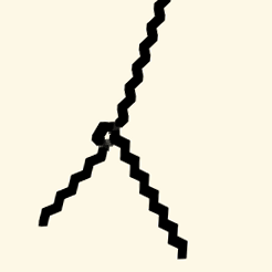 CCCCCCCCCCCCCCc1n(CCCCCCCCCCCCC)cc[n+]1CCCCCCCCC